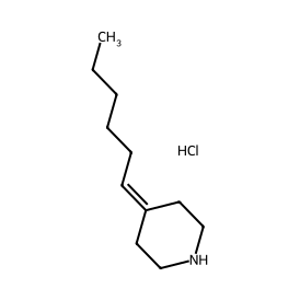 CCCCCC=C1CCNCC1.Cl